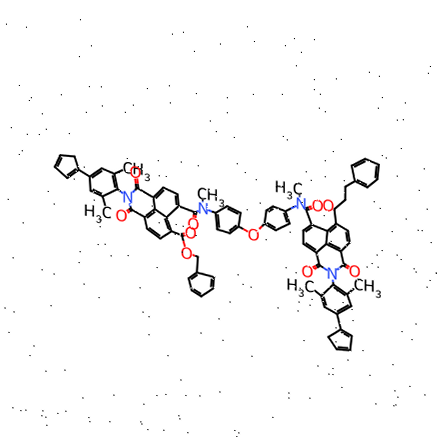 Cc1cc(C2=CC=CC2)cc(C)c1N1C(=O)c2ccc(C(=O)CCc3ccccc3)c3c(C(=O)N(C)c4ccc(Oc5ccc(N(C)C(=O)c6ccc7c8c(ccc(C(=O)OCc9ccccc9)c68)C(=O)N(c6c(C)cc(C8=CC=CC8)cc6C)C7=O)cc5)cc4)ccc(c23)C1=O